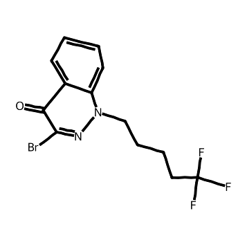 O=c1c(Br)nn(CCCCC(F)(F)F)c2ccccc12